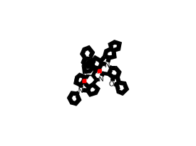 CC[C@H]1C(c2ccc3ccccc3c2)=NC(c2c(-n3c4cc5ccccc5cc4c4cc5ccccc5cc43)ccc3c2oc2ccccc23)=NC1c1cccc2c1c1ccccc1n2-c1ccccc1